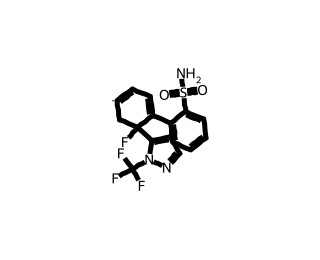 NS(=O)(=O)c1ccccc1C1=CC=[C]CC1(F)c1ccnn1C(F)(F)F